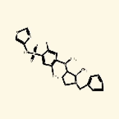 Cc1cc(S(=O)(=O)Nc2cscn2)c(F)cc1N(C)C1CCN(Cc2ccccc2)[C@@H]1C